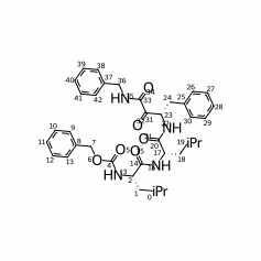 CC(C)C[C@H](NC(=O)OCc1ccccc1)C(=O)N[C@@H](CC(C)C)C(=O)N[C@@H](Cc1ccccc1)C(=O)C(=O)NCc1ccccc1